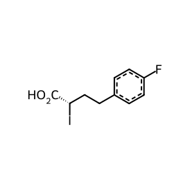 O=C(O)[C@@H](I)CCc1ccc(F)cc1